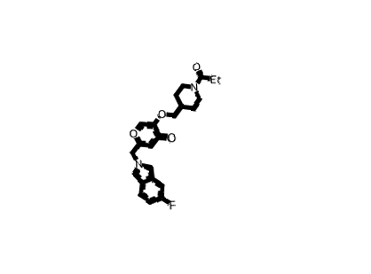 CCC(=O)N1CCC(COc2coc(Cn3cc4ccc(F)cc4c3)cc2=O)CC1